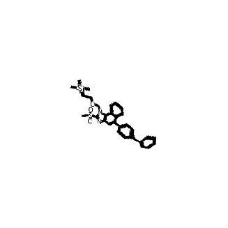 C[Si](C)(C)CCOCn1c(S(C)(=O)=O)nc2cc(-c3ccc(-c4ccccc4)cc3)c3ccccc3c21